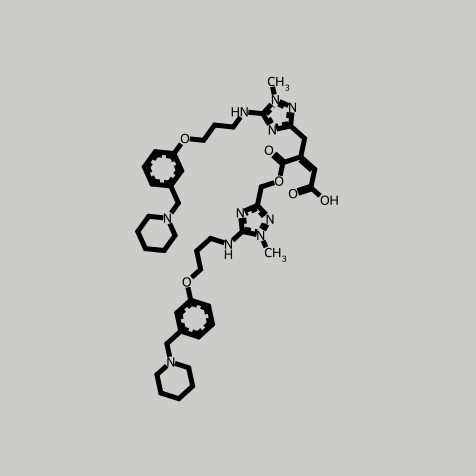 Cn1nc(COC(=O)C(=CC(=O)O)Cc2nc(NCCCOc3cccc(CN4CCCCC4)c3)n(C)n2)nc1NCCCOc1cccc(CN2CCCCC2)c1